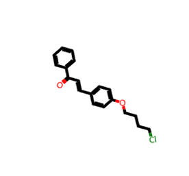 O=C(/C=C/c1ccc(OCCCCCl)cc1)c1ccccc1